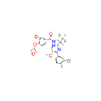 COc1cc(C(=O)NCC(C)(c2ccc(OC)c(-c3ccc(F)c(Cl)c3)n2)C(F)(F)F)ccc1OC1COC1